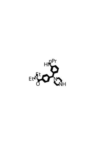 CCCNc1cccc([C@@H](c2ccc(C(=O)N(CC)CC)cc2)N2CCNCC2)c1